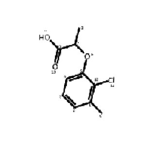 Cc1cccc(OC(C)C(=O)O)c1Cl